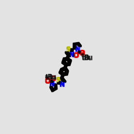 CC(C)(C)OC(=O)N1CCC[C@H]1c1nc(-c2ccc(-c3ccc(-c4cnc([C@@H]5CCCN5C(=O)OC(C)(C)C)s4)cc3)cc2)cs1